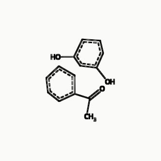 CC(=O)c1ccccc1.Oc1cccc(O)c1